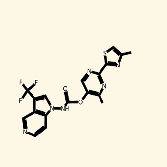 Cc1csc(-c2ncc(OC(=O)Nn3cc(C(F)(F)F)c4cnccc43)c(C)n2)n1